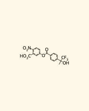 CC(O)(c1ccc(C(=O)Oc2ccc([N+](=O)[O-])c(C(=O)O)c2)cc1)C(F)(F)F